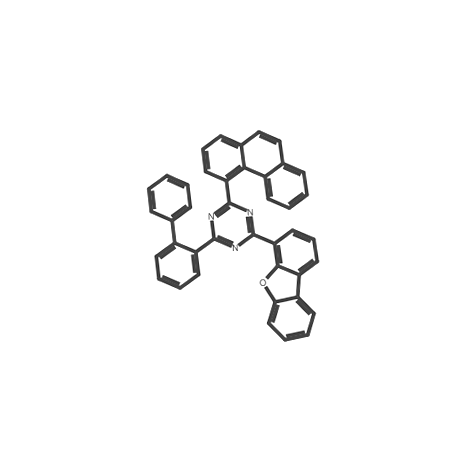 c1ccc(-c2ccccc2-c2nc(-c3cccc4c3oc3ccccc34)nc(-c3cccc4ccc5ccccc5c34)n2)cc1